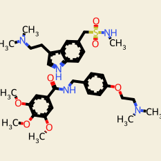 CNS(=O)(=O)Cc1ccc2[nH]cc(CCN(C)C)c2c1.COc1cc(C(=O)NCc2ccc(OCCN(C)C)cc2)cc(OC)c1OC